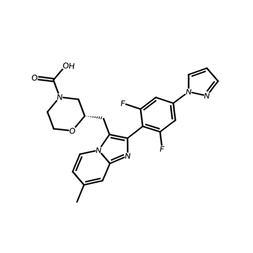 Cc1ccn2c(C[C@H]3CN(C(=O)O)CCO3)c(-c3c(F)cc(-n4cccn4)cc3F)nc2c1